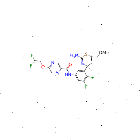 COC[C@@]1(C)C[C@@](C)(c2cc(NC(=O)c3cnc(OCC(F)F)cn3)cc(F)c2F)N=C(N)S1